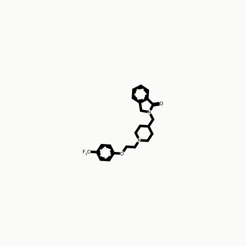 O=C1c2ccccc2CN1CC1CCN(CCOc2ccc(C(F)(F)F)cc2)CC1